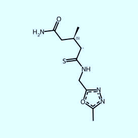 Cc1nnc(CNC(=S)[CH][C@H](C)CC(N)=O)o1